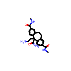 CNC(=O)c1ccc2c(c1)CCc1cc(C(=O)NC)ccc1C2(CCN)C(N)=O